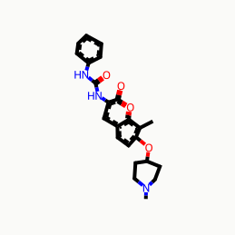 Cc1c(OC2CCN(C)CC2)ccc2cc(NC(=O)Nc3ccccc3)c(=O)oc12